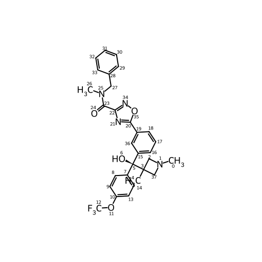 CN1CC(C)([C@](O)(c2ccc(OC(F)(F)F)cc2)c2cccc(-c3nc(C(=O)N(C)Cc4ccccc4)no3)c2)C1